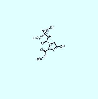 CC[C@@H]1C[C@]1(NC(=O)[C@@H]1C[C@@H](O)CN1C(=O)OC(C)(C)C)C(=O)O